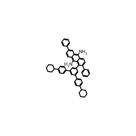 Nc1c2cc(-c3ccccc3)ccc2c(N)c2c(-c3cc(-c4ccc(C5CCCCC5)cc4)cc(-c4ccc(C5CCCCC5)cc4)c3)c(-c3ccccc3)ccc12